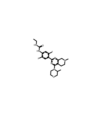 CCNC(=O)Nc1cc(F)c(-c2nc3c(c(N4CCOCC4C)n2)CCN(C)C3)cc1F